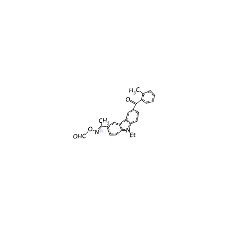 CCn1c2ccc(C(=O)c3ccccc3C)cc2c2cc(/C(C)=N/OC=O)ccc21